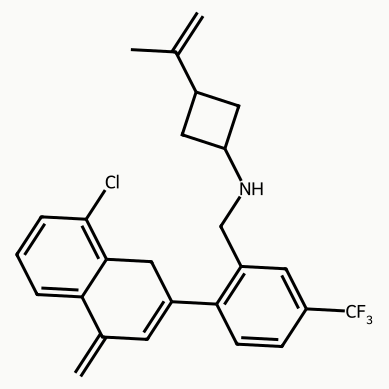 C=C1C=C(c2ccc(C(F)(F)F)cc2CNC2CC(C(=C)C)C2)Cc2c(Cl)cccc21